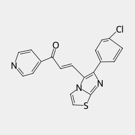 O=C(C=Cc1c(-c2ccc(Cl)cc2)nc2sccn12)c1ccncc1